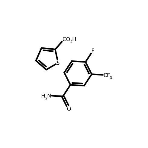 NC(=O)c1ccc(F)c(C(F)(F)F)c1.O=C(O)c1cccs1